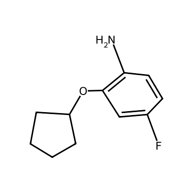 Nc1ccc(F)cc1OC1CCCC1